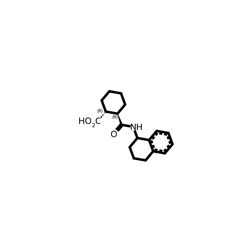 O=C(O)[C@@H]1CCCC[C@H]1C(=O)NC1CCCc2ccccc21